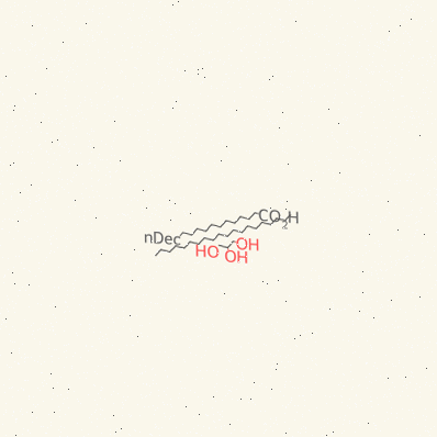 CCCCCCCCCCCCCCCCCCCC.CCCCCCCCCCCCCCCCCCCCCC(=O)O.OCC(O)CO